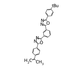 C=C(C)c1ccc(-c2nnc(-c3cccc(-c4nnc(-c5ccc(C(C)(C)C)cc5)o4)c3)o2)cc1